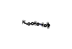 O=C(/C=C/c1ccc(OC(=O)C2CCC(C3CCC(CCCC(F)(F)F)CC3)CC2)cc1)Oc1ccc(N2C(=O)C=CC2=O)cc1